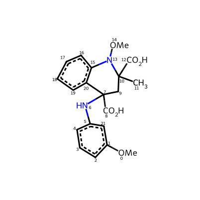 COc1cccc(NC2(C(=O)O)CC(C)(C(=O)O)N(OC)c3ccccc32)c1